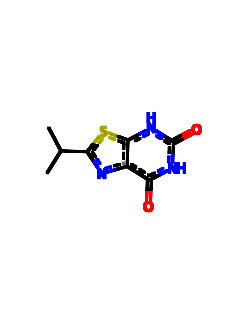 CC(C)c1nc2c(=O)[nH]c(=O)[nH]c2s1